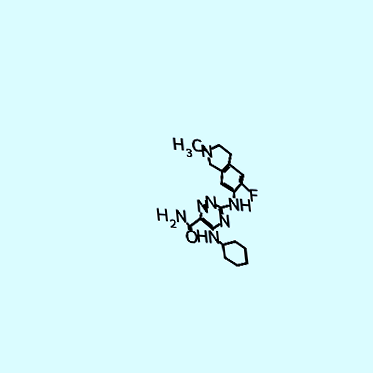 CN1CCc2cc(F)c(Nc3nnc(C(N)=O)c(NC4CCCCC4)n3)cc2C1